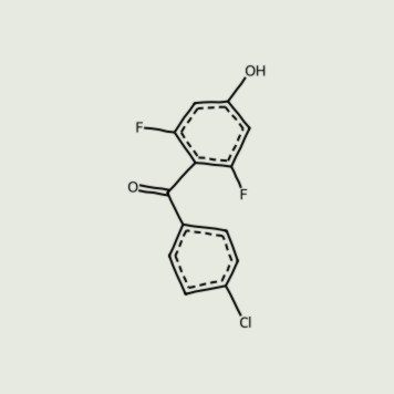 O=C(c1ccc(Cl)cc1)c1c(F)cc(O)cc1F